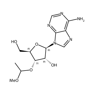 COC(C)O[C@H]1[C@@H](O)[C@H](n2cnc3c(N)ncnc32)O[C@@H]1CO